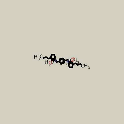 CCCCC12CCC(/C(=C\c3ccc(/C=C4/C(=O)C5(CCCC)CCC4C5(C)C)cc3)C1=O)C2(C)C